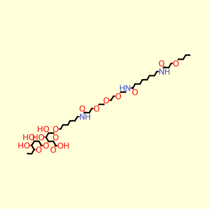 CCCCOCCC(=O)NCCCCCCCC(=O)NCCOCCOCCOCCC(=O)NCCCCCCOC1OC(C(=O)O)C(OC2CC(O)C(O)C(CC)O2)C(O)C1O